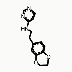 c1cc(NCCc2ccc3c(c2)OCCO3)ncn1